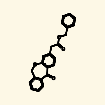 O=C(Cc1ccc2c(c1)OCc1ccccc1C2=O)OCc1ccccc1